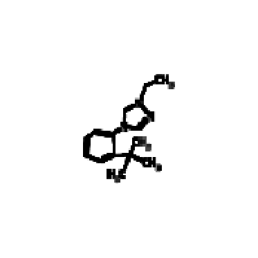 CCN1CN(c2ccccc2C(C)(C)C)C=N1